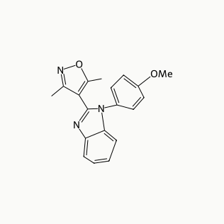 COc1ccc(-n2c(-c3c(C)noc3C)nc3ccccc32)cc1